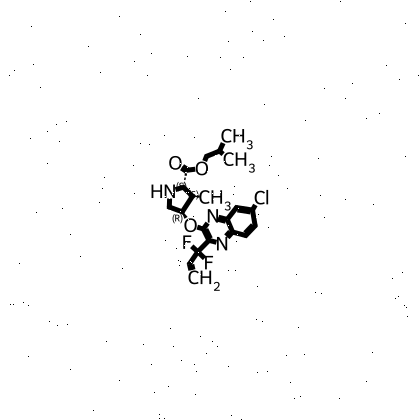 C=CC(F)(F)c1nc2ccc(Cl)cc2nc1O[C@H]1CN[C@H](C(=O)OCC(C)C)[C@@H]1C